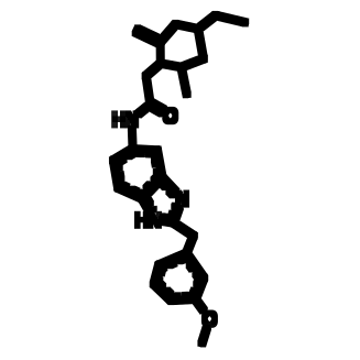 C=C1CC(CC)CC(C)C1CC(=O)Nc1ccc2[nH]c(Cc3cccc(OC)c3)nc2c1